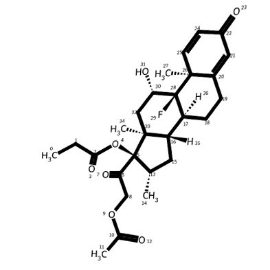 CCC(=O)O[C@]1(C(=O)COC(C)=O)[C@@H](C)C[C@H]2[C@@H]3CCC4=CC(=O)C=C[C@]4(C)[C@@]3(F)[C@@H](O)C[C@@]21C